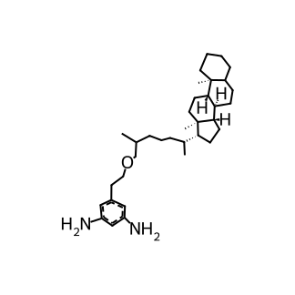 CC(CCCC(C)[C@H]1CC[C@H]2[C@@H]3CCC4CCCC[C@]4(C)[C@H]3CC[C@]12C)COCCc1cc(N)cc(N)c1